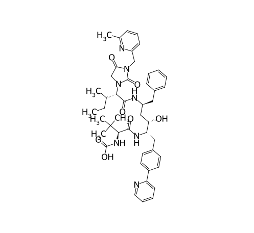 CCC(C)[C@@H](C(=O)N[C@@H](Cc1ccccc1)C[C@H](O)[C@H](Cc1ccc(-c2ccccn2)cc1)NC(=O)[C@@H](NC(=O)O)C(C)(C)C)N1CC(=O)N(Cc2cccc(C)n2)C1=O